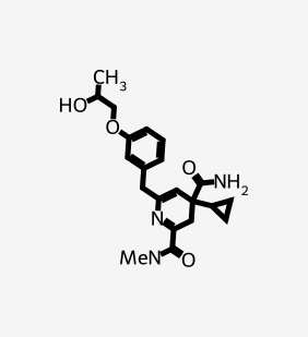 CNC(=O)C1=NC(Cc2cccc(OCC(C)O)c2)=CC(C(N)=O)(C2CC2)C1